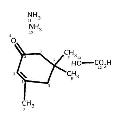 CC1=CC(=O)CC(C)(C)C1.N.N.O=C(O)O